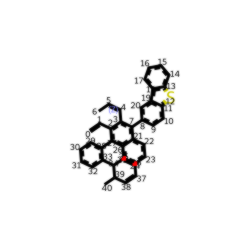 C=Cc1c(/C=C\C)c(-c2ccc3sc4ccccc4c3c2)c2ccccc2c1-c1ccccc1C1C=CC=CC1C